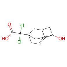 O=C(O)C(Cl)(Cl)C12CC=C3C(CC3(O)C1)C2